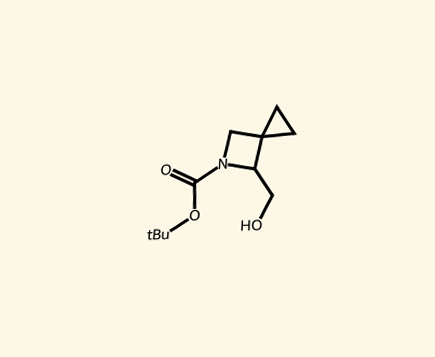 CC(C)(C)OC(=O)N1CC2(CC2)C1CO